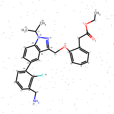 CCOC(=O)Cc1ccccc1OCc1nn(C(C)C)c2ccc(-c3cccc(CN)c3F)cc12